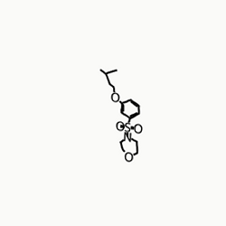 CC(C)CCOc1cccc(S(=O)(=O)N2CCOCC2)c1